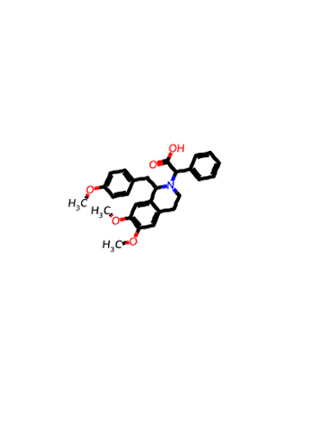 COc1ccc(CC2c3cc(OC)c(OC)cc3CCN2C(C(=O)O)c2ccccc2)cc1